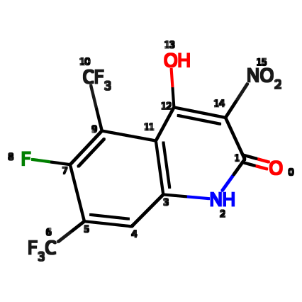 O=c1[nH]c2cc(C(F)(F)F)c(F)c(C(F)(F)F)c2c(O)c1[N+](=O)[O-]